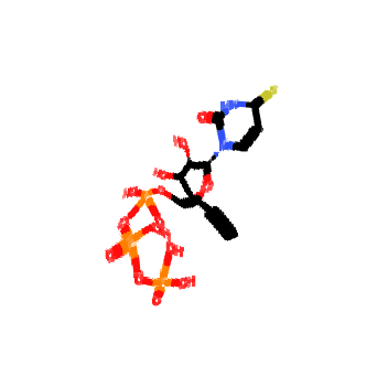 C#C[C@]1(COP(=O)(O)OP(=O)(O)OP(=O)(O)O)O[C@@H](n2ccc(=S)[nH]c2=O)[C@@H](O)C1O